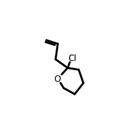 C=CCC1(Cl)CCCCO1